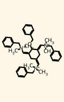 C[N+](C)(C=C1CC(=C[N+](C)(C)Cc2ccccc2)C(OCc2ccccc2)C(=C[N+](C)(C)Cc2ccccc2)C1)Cc1ccccc1